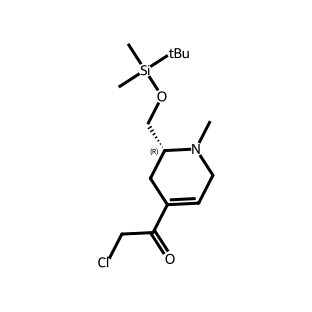 CN1CC=C(C(=O)CCl)C[C@@H]1CO[Si](C)(C)C(C)(C)C